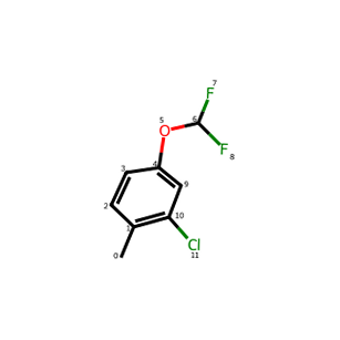 Cc1ccc(OC(F)F)cc1Cl